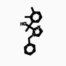 Cc1cccc(C(C)(O)c2nccn2Cc2ccccc2)c1C